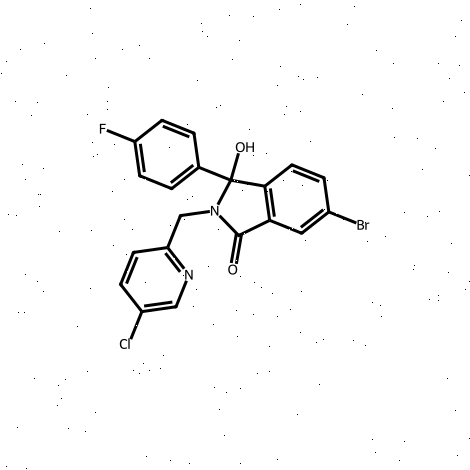 O=C1c2cc(Br)ccc2C(O)(c2ccc(F)cc2)N1Cc1ccc(Cl)cn1